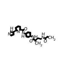 C=CC(=O)NCCC(=C)C(=O)Nc1ccc(NC(=O)c2cccc(-c3ccn[nH]3)n2)cc1